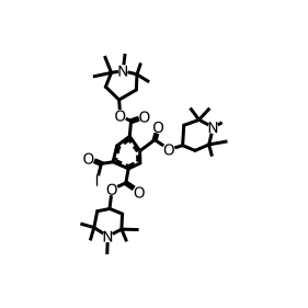 CN1C(C)(C)CC(OC(=O)c2cc(C(=O)OC3CC(C)(C)N(C)C(C)(C)C3)c(C(=O)OC3CC(C)(C)N(C)C(C)(C)C3)cc2C(=O)I)CC1(C)C